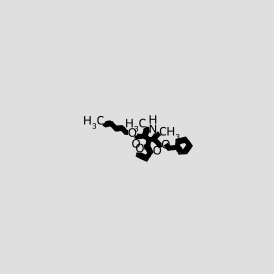 CC=CC=CCOC(=O)C1=C(C)NC(C)=C(C(=O)OCc2ccccc2)C1c1ccco1